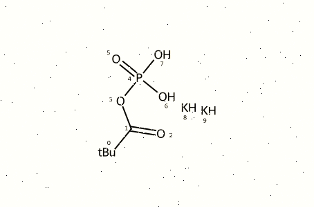 CC(C)(C)C(=O)OP(=O)(O)O.[KH].[KH]